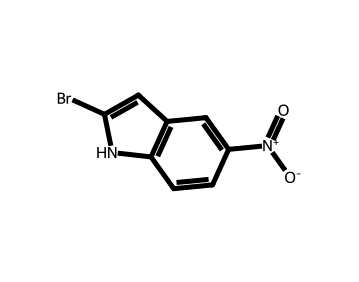 O=[N+]([O-])c1ccc2[nH]c(Br)cc2c1